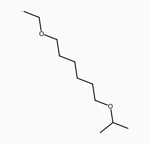 [CH2]COCCCCCCOC(C)C